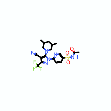 CC(=O)NS(=O)(=O)c1ccc(-n2nc(C(F)(F)F)c(C#N)c2N2CC(C)CC(C)C2)nc1